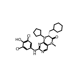 CN1C(=O)[C@@H](CC2CCCCC2)N(C2CCCC2)c2nc(Nc3cc(Cl)c(O)c(Cl)c3)ncc21